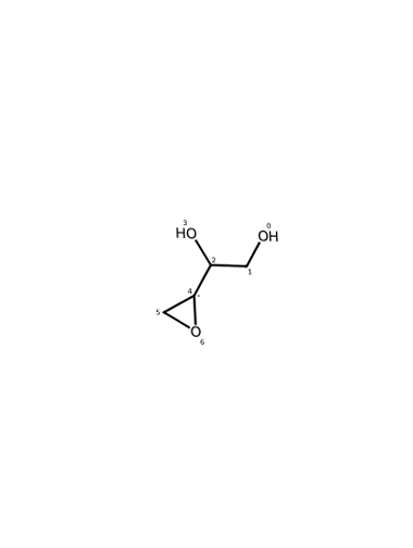 OCC(O)[C]1CO1